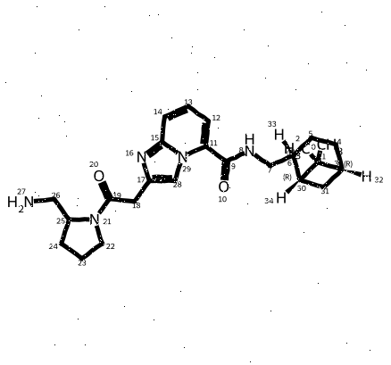 CC1(C)[C@@H]2CC[C@@H](CNC(=O)c3cccc4nc(CC(=O)N5CCCC5CN)cn34)[C@H]1C2